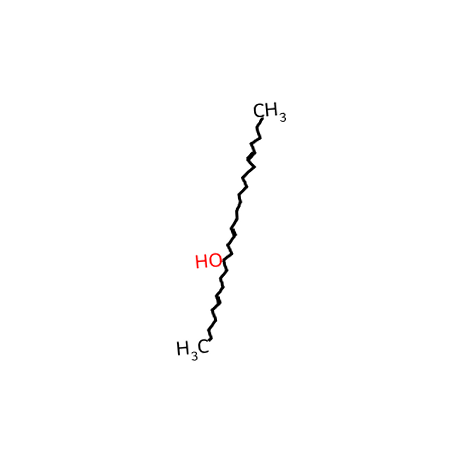 CCCCCC=CCCCCCCCC=CCCC(O)CCCC=CCCCCC